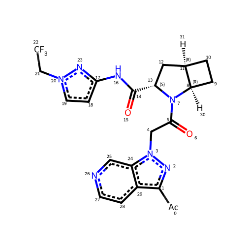 CC(=O)c1nn(CC(=O)N2[C@@H]3CC[C@@H]3C[C@H]2C(=O)Nc2ccn(CC(F)(F)F)n2)c2cnccc12